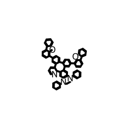 c1ccc(N2CCN(c3ccccc3)c3cc4c(cc32)-c2cc(-c3cccc5c3oc3ccccc35)ccc2-c2ccc(-c3cccc5c3oc3ccccc35)cc2-c2cccnc2-4)cc1